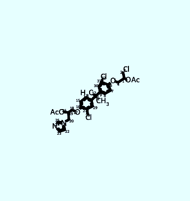 CC(=O)OC(CCl)COc1ccc(C(C)(C)c2ccc(OCC(Cn3ccnc3)OC(C)=O)c(Cl)c2)cc1Cl